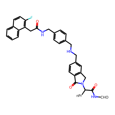 CCCC(C(=O)NC=O)N1Cc2cc(CNCc3ccc(CNC(=O)Cc4c(F)ccc5ccccc45)cc3)ccc2C1=O